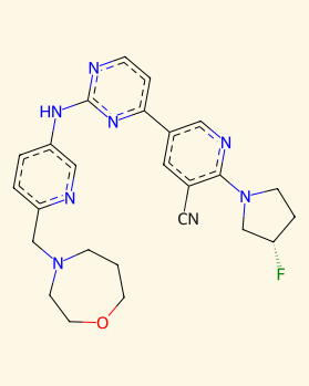 N#Cc1cc(-c2ccnc(Nc3ccc(CN4CCCOCC4)nc3)n2)cnc1N1CC[C@H](F)C1